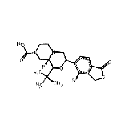 CC(C)(C)C1O[C@H](c2ccc3c(c2Br)COC3=O)CN2CCN(C(=O)O)C[C@@H]12